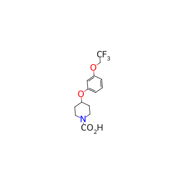 O=C(O)N1CCC(Oc2cccc(OCC(F)(F)F)c2)CC1